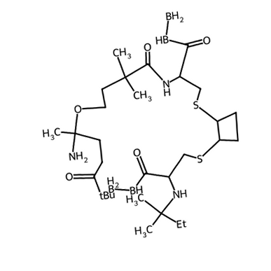 BBC(=O)C(CSC1CCC1SCC(NC(C)(C)CC)C(=O)BB)NC(=O)C(C)(C)CCOC(C)(N)CCC(=O)C(C)(C)C